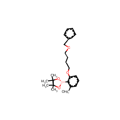 CC1(C)OB(c2c(C=O)cccc2OCCCCOCc2ccccc2)OC1(C)C